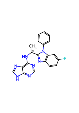 C[C@@H](Nc1ncnc2[nH]cnc12)c1nc2ccc(F)cc2n1-c1ccccc1